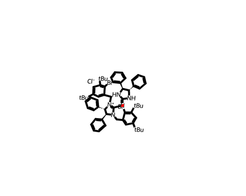 CC(C)(C)c1cc(CN2C(N=C3N[C@@H](c4ccccc4)[C@H](c4ccccc4)N3)=[N+](Cc3cc(C(C)(C)C)cc(C(C)(C)C)c3Br)[C@@H](c3ccccc3)[C@@H]2c2ccccc2)c(Br)c(C(C)(C)C)c1.[Cl-]